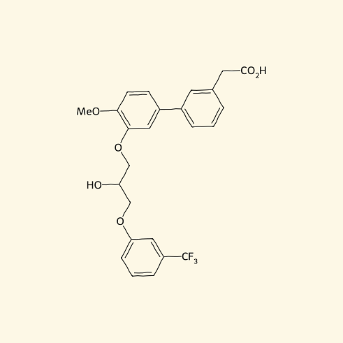 COc1ccc(-c2cccc(CC(=O)O)c2)cc1OCC(O)COc1cccc(C(F)(F)F)c1